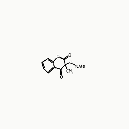 CNOC1(C)C(=O)Oc2ccccc2C1=O